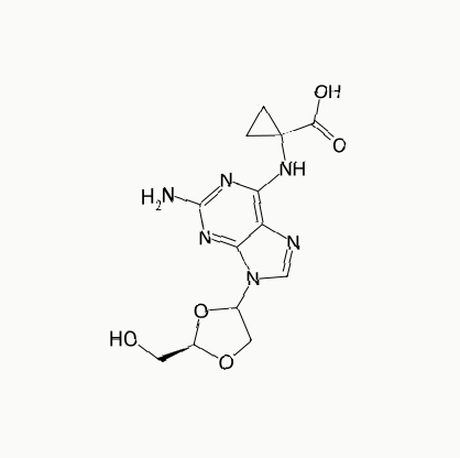 Nc1nc(NC2(C(=O)O)CC2)c2ncn(C3CO[C@@H](CO)O3)c2n1